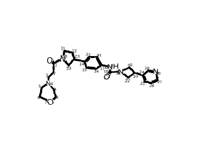 O=C(CCN1CCOCC1)N1CCC(c2ccc(NC(=O)N3CC(c4cccnc4)C3)cc2)C1